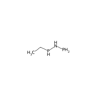 CCPNP